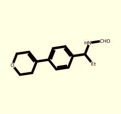 CCC(NC=O)c1ccc(C2=CCOCC2)cc1